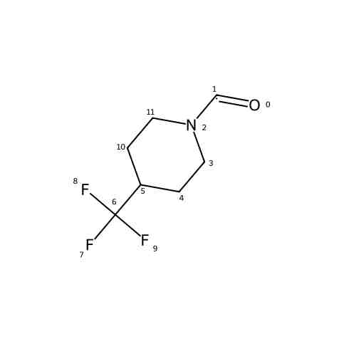 O=[C]N1CCC(C(F)(F)F)CC1